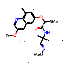 CCOc1cnc2c(C)cc(OC(SC)C(=O)NC(C)(C)/C=N/OC)cc2c1